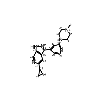 CN1CCN(c2cc(-c3n[nH]c4cnc(C5CC5)cc34)ccn2)CC1